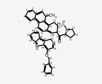 CC1C=c2ccccc2=c2ccc3c(c21)CCC(C(=O)C1CCCN1C)C=3[C@@H]1N=CC(OCc2ccccc2)=C2N=c3c[c]ccc3=C21